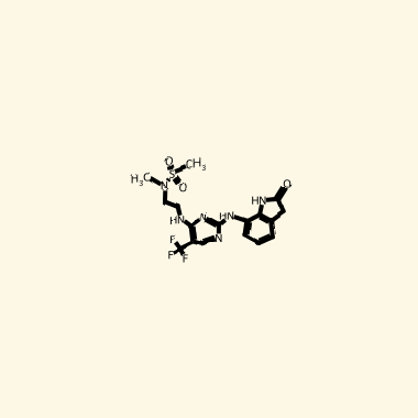 CN(CCNc1nc(Nc2cccc3c2NC(=O)C3)ncc1C(F)(F)F)S(C)(=O)=O